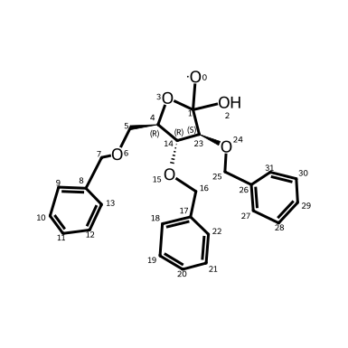 [O]C1(O)O[C@H](COCc2ccccc2)[C@@H](OCc2ccccc2)[C@@H]1OCc1ccccc1